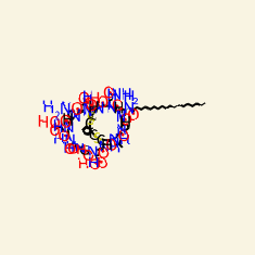 CCCCCCCCCCCCCCCCCC(=O)N[C@H]1C[C@H]2C(=O)N[C@@H](CCC(N)=O)C(=O)N[C@H]3CSCc4ccccc4CSC[C@H](NC(=O)[C@H](CCC(=O)O)NC(=O)CNC(=O)[C@H]([C@@H](C)O)NC(=O)[C@H](CCC(=O)O)NC(=O)[C@@H]4C[C@H](N)CN4C(=O)[C@H](CC(=O)O)NC3=O)C(=O)N[C@@H](CC(C)C)C(=O)N3CCC[C@@H]3C(=O)N2C1